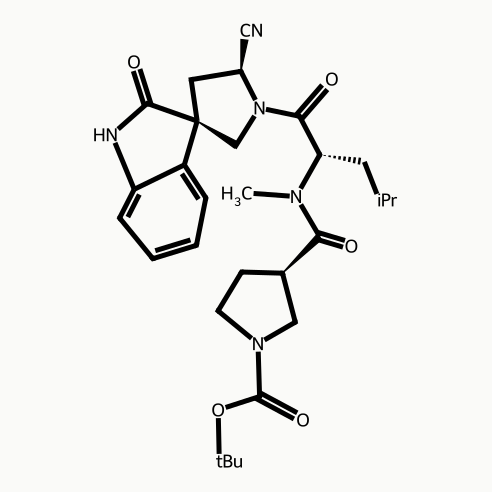 CC(C)C[C@@H](C(=O)N1C[C@]2(C[C@H]1C#N)C(=O)Nc1ccccc12)N(C)C(=O)[C@@H]1CCN(C(=O)OC(C)(C)C)C1